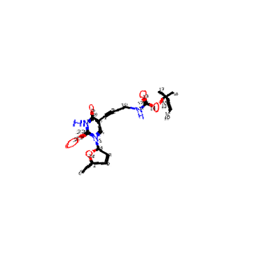 CC1CCC(n2cc(C#CCNC(=O)OC(C)(C)C)c(=O)[nH]c2=O)O1